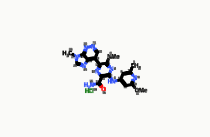 CNc1nc(Nc2cc(C)nc(OC)c2)c(C(N)=O)nc1-c1cnnc2c1ncn2C.Cl